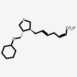 O=C(O)/C=C\CC=CC[C@@H]1CSC[C@H]1COC1CCCCC1